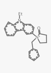 CCn1c2ccccc2c2cc([N+]3(Cc4ccccc4)CCCC3=O)ccc21